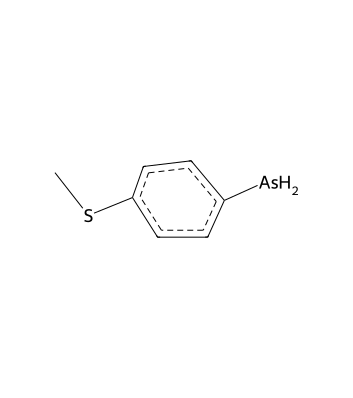 CSc1ccc([AsH2])cc1